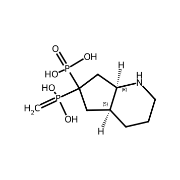 C=P(O)(O)C1(P(=O)(O)O)C[C@@H]2CCCN[C@@H]2C1